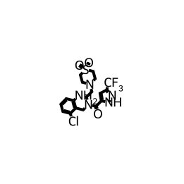 Nc1cccc(Cl)c1CN(CCN1CCS(=O)(=O)CC1)C(=O)c1cc(C(F)(F)F)n[nH]1